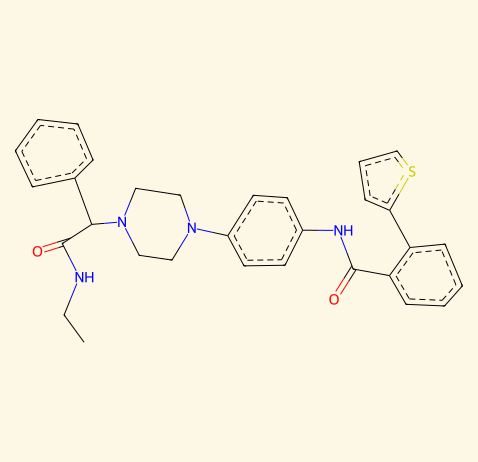 CCNC(=O)C(c1ccccc1)N1CCN(c2ccc(NC(=O)c3ccccc3-c3cccs3)cc2)CC1